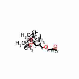 C[Si](C)(C)OC([SiH3])(CCCOCC1CO1)O[Si](C)(C)C